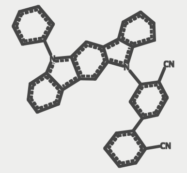 N#Cc1ccccc1-c1ccc(C#N)c(-n2c3ccccc3c3cc4c(cc32)c2ccccc2n4-c2ccccc2)c1